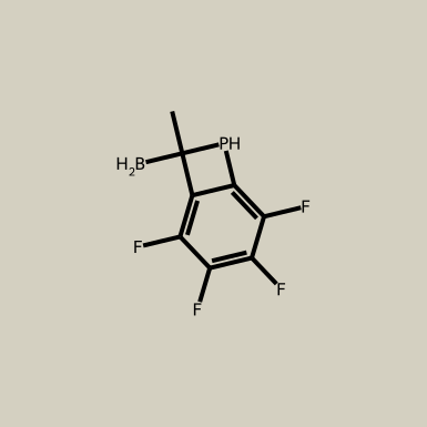 BC1(C)Pc2c(F)c(F)c(F)c(F)c21